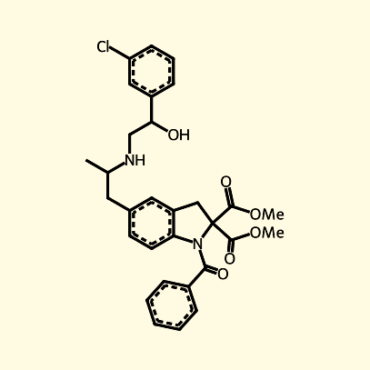 COC(=O)C1(C(=O)OC)Cc2cc(CC(C)NCC(O)c3cccc(Cl)c3)ccc2N1C(=O)c1ccccc1